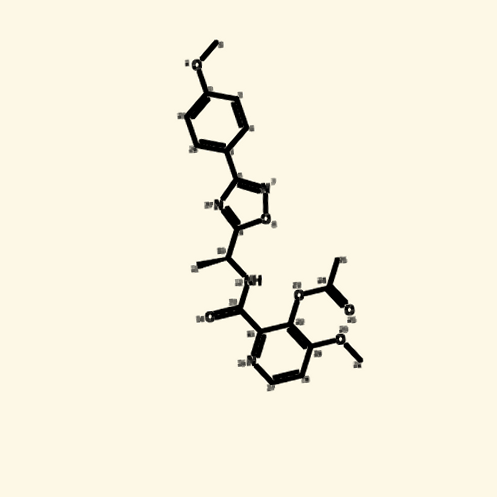 COc1ccc(-c2noc([C@H](C)NC(=O)c3nccc(OC)c3OC(C)=O)n2)cc1